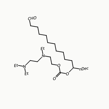 CCCCCCCCCCC(CCCCCCCCCCC=O)OC(=O)OCCN(CC)CCN(CC)CC